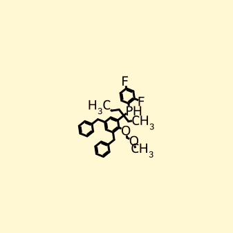 CCCC(CC)(Pc1ccc(F)cc1F)c1cc(Cc2ccccc2)cc(Cc2ccccc2)c1OCOC